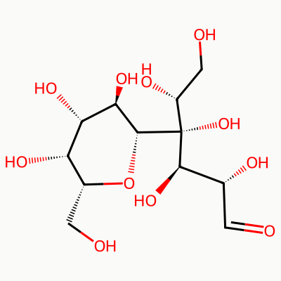 O=C[C@@H](O)[C@@H](O)[C@](O)([C@H](O)CO)[C@@H]1O[C@H](CO)[C@H](O)[C@H](O)[C@H]1O